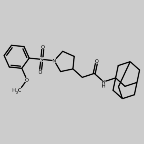 COc1ccccc1S(=O)(=O)N1CCC(CC(=O)NC23CC4CC(CC(C4)C2)C3)C1